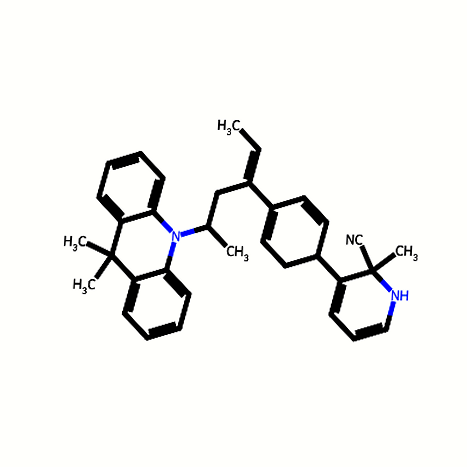 C/C=C(\CC(C)N1c2ccccc2C(C)(C)c2ccccc21)C1=CCC(C2=CC=CNC2(C)C#N)C=C1